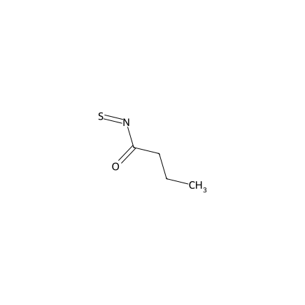 CCCC(=O)N=S